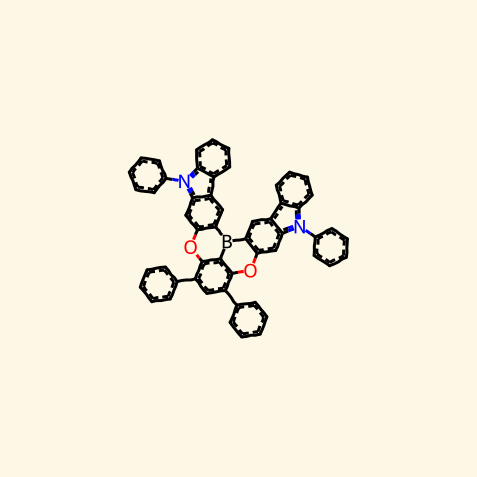 c1ccc(-c2cc(-c3ccccc3)c3c4c2Oc2cc5c(cc2B4c2cc4c6ccccc6n(-c6ccccc6)c4cc2O3)c2ccccc2n5-c2ccccc2)cc1